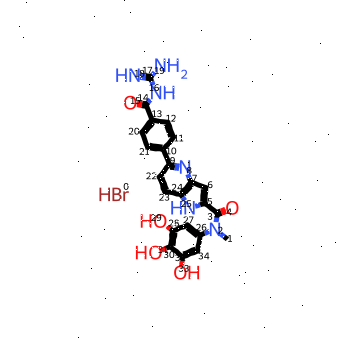 Br.CN(C(=O)c1cc2nc(-c3ccc(C(=O)NC(=N)N)cc3)ccc2[nH]1)c1cc(O)c(O)c(O)c1